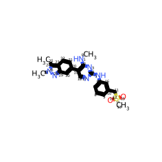 CNc1nc(Nc2cccc(CS(C)(=O)=O)c2)ncc1-c1ccc2c(C)n(C)nc2c1